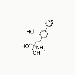 Cl.NC(CO)(CO)CCc1ccc(-c2ccsc2)cc1